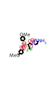 COc1ccc(OSP(=O)(OC[C@@]2(C(F)F)O[C@@H](n3ccc(N)nc3=O)[C@H](O)[C@@H]2F)Oc2ccc(OC)cc2)cc1